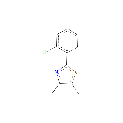 [CH2]c1sc(-c2ccccc2Cl)nc1C